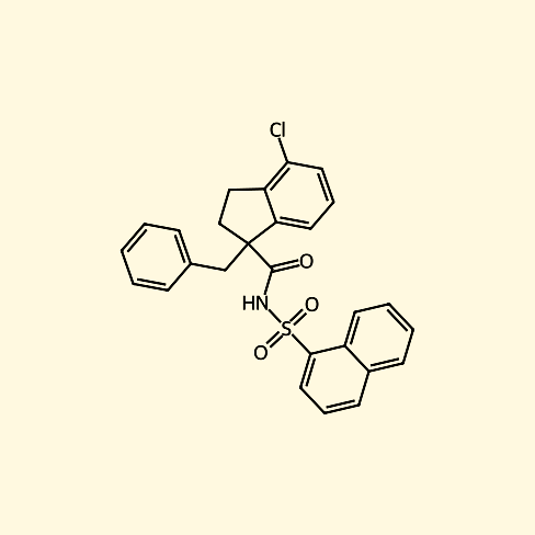 O=C(NS(=O)(=O)c1cccc2ccccc12)C1(Cc2ccccc2)CCc2c(Cl)cccc21